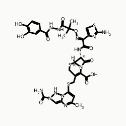 CC1=NC2=CN(C(N)=O)NN2C(SCC2=C(C(=O)O)N3C(=O)[C@@H](NC(=O)C(=NOC(C)(C)C(=O)NNC(=O)c4ccc(O)c(O)c4)c4csc(N)n4)[C@H]3SC2)=C1